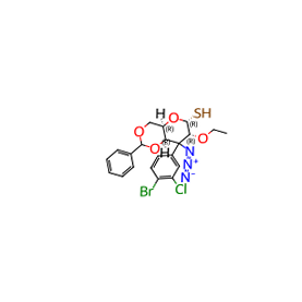 CCO[C@H]1[C@@H](S)O[C@@H]2COC(c3ccccc3)O[C@@H]2C1(N=[N+]=[N-])c1ccc(Br)c(Cl)c1